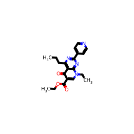 CCCc1nc(-c2ccncc2)nc2c1c(=O)c(C(=O)OCC)cn2CC